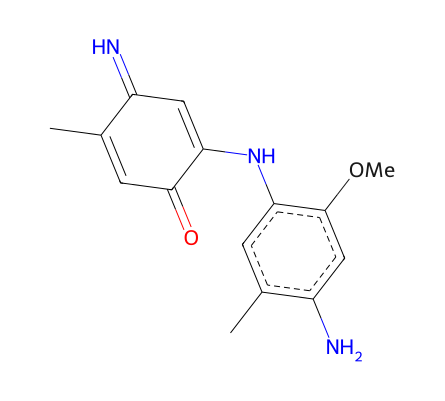 COc1cc(N)c(C)cc1NC1=CC(=N)C(C)=CC1=O